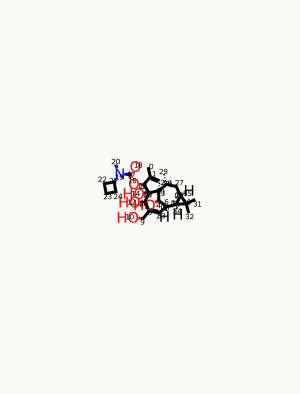 CC1=C[C@]23C(O)[C@@H](C=C(CO)[C@@H](O)[C@]2(O)[C@H]1OC(=O)N(C)C1CCC1)[C@H]1[C@@H](C[C@H]3C)C1(C)C